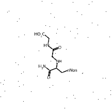 CCCCCCCCCCC(NCC(=O)NCC(=O)O)C(N)=O